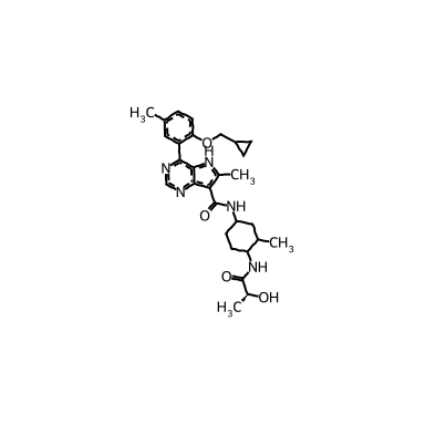 Cc1ccc(OCC2CC2)c(-c2ncnc3c(C(=O)NC4CCC(NC(=O)[C@H](C)O)C(C)C4)c(C)[nH]c23)c1